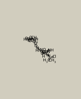 C=C(NCCOCCOCCOCCN1CCC(CNc2ccc(S(=O)(=O)NC(=O)c3ccc(N4CCN(CC5=C(c6ccc(Cl)cc6)CC(C)(C)CC5)CC4)cc3Oc3cnc4[nH]ccc4c3)cc2[N+](=O)[O-])CC1)C1=C(C)C(=O)N(C2CCC(=O)NC2=O)C1=O